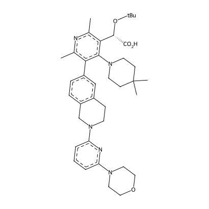 Cc1nc(C)c([C@H](OC(C)(C)C)C(=O)O)c(N2CCC(C)(C)CC2)c1-c1ccc2c(c1)CCN(c1cccc(N3CCOCC3)n1)C2